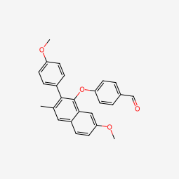 COc1ccc(-c2c(C)cc3ccc(OC)cc3c2Oc2ccc(C=O)cc2)cc1